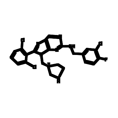 Fc1ccc(CNc2ncc3nc(-c4c(Cl)cccc4Cl)n(C[C@H]4CCNC4)c3n2)cc1Cl